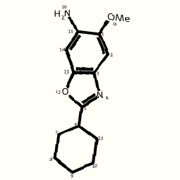 COc1cc2nc(C3CCCCC3)oc2cc1N